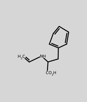 C=CNC(Cc1ccccc1)C(=O)O